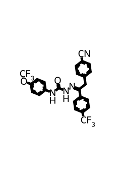 N#Cc1ccc(CC(=NNC(=O)Nc2ccc(OC(F)(F)F)cc2)c2ccc(C(F)(F)F)cc2)cc1